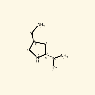 CC(C)C(C)[C@H]1C[C@H](CN)CN1